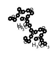 CC1(C)c2ccccc2-c2cc3c4cc(-c5cccc6oc7ccc(-c8ccc9c(c8)c8cc(-c%10ccc%11c(c%10)C(C)(C)c%10cc%12c(cc%10-%11)c%10cc(-c%11cccc%13oc%14ccc(-c%15ccc%16c(c%15)c%15ccccc%15n%16-c%15ccc(-c%16cccc%17c%16oc%16ccccc%16%17)cc%15)cc%14c%11%13)ccc%10n%12-c%10ccccc%10)ccc8n9-c8ccc(-c9cccc%10oc%11ccccc%11c9%10)cc8)cc7c56)ccc4n(-c4ccccc4)c3cc21